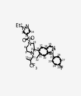 CCn1cc(S(=O)(=O)N2CCN(CC(C)C(F)(F)F)[C@H](c3cc4cnn(-c5ccc(F)cc5)c4cc3C)C2)cn1